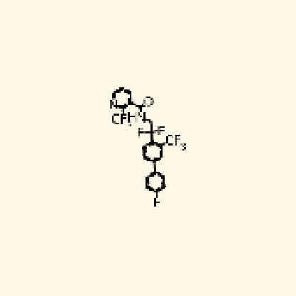 O=C(NCC(F)(F)c1ccc(-c2ccc(F)cc2)cc1C(F)(F)F)c1cccnc1C(F)(F)F